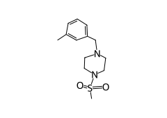 Cc1cccc(CN2CCN(S(C)(=O)=O)CC2)c1